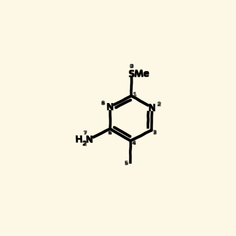 CSc1ncc(C)c(N)n1